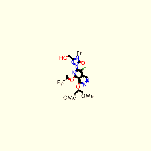 CCn1c(CO)nn(-c2nc(O[C@@H](C)C(F)(F)F)c3c(OC(COC)COC)nncc3c2F)c1=O